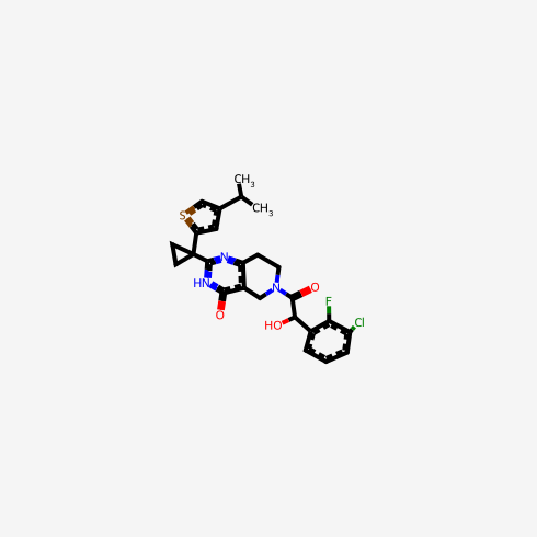 CC(C)c1csc(C2(c3nc4c(c(=O)[nH]3)CN(C(=O)C(O)c3cccc(Cl)c3F)CC4)CC2)c1